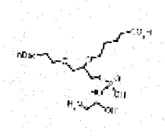 CCCCCCCCCCCCOCC(COP(=O)(O)O)OCCCCC(=O)O.NCCO